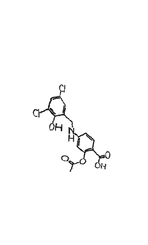 CC(=O)Oc1cc(NCc2cc(Cl)cc(Cl)c2O)ccc1C(=O)O